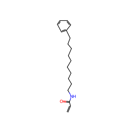 C=CC(=O)NCCCCCCCCCCc1ccccc1